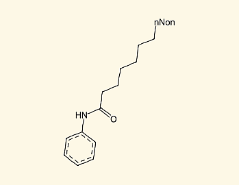 CCCCCCCCCCCCCCCC(=O)Nc1ccccc1